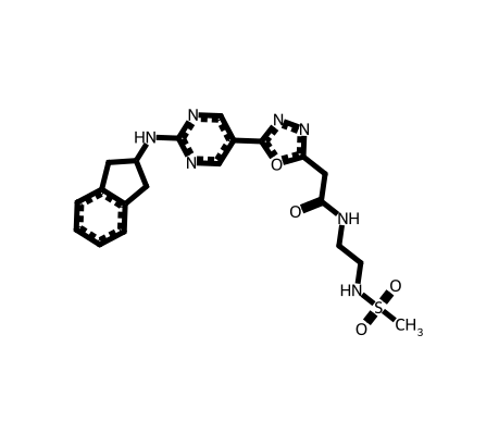 CS(=O)(=O)NCCNC(=O)Cc1nnc(-c2cnc(NC3Cc4ccccc4C3)nc2)o1